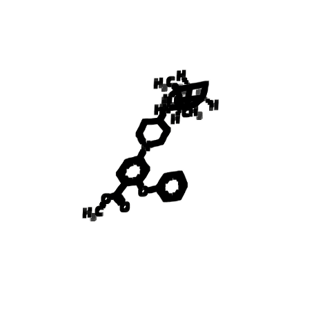 COC(=O)c1ccc(N2CCC(N[C@@H]3C[C@@H]4C[C@H]([C@H]3C)C4(C)C)CC2)cc1Oc1ccccc1